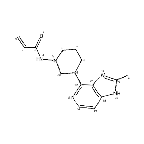 C=CC(=O)NN1CCCC(c2nccc3[nH]c(C)nc23)C1